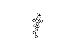 O=c1c2ccc(-n3c4ccccc4c4c5oc6ccccc6c5c5oc6ccccc6c5c43)cc2oc2ccc(-c3cccc(-c4ccccc4)c3)cc12